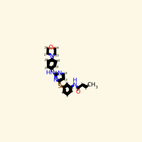 CC=CC(=O)Nc1cccc(Sc2ccnc(Nc3ccc(N4CCOCC4)cc3)n2)c1